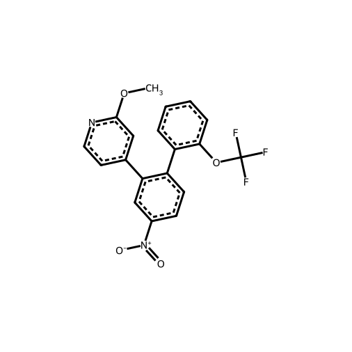 COc1cc(-c2cc([N+](=O)[O-])ccc2-c2ccccc2OC(F)(F)F)ccn1